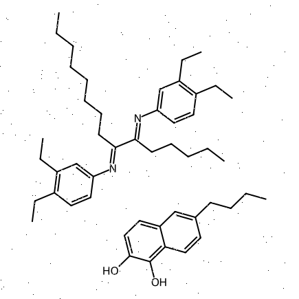 CCCCCCCCC(=Nc1ccc(CC)c(CC)c1)C(CCCCC)=Nc1ccc(CC)c(CC)c1.CCCCc1ccc2c(O)c(O)ccc2c1